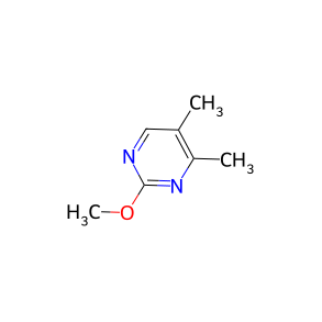 COc1ncc(C)c(C)n1